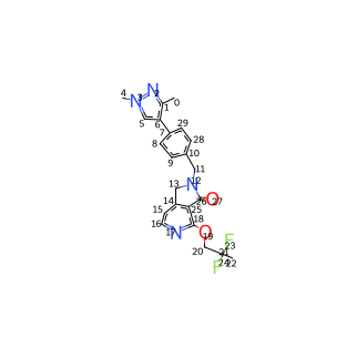 Cc1nn(C)cc1-c1ccc(CN2Cc3ccnc(OCC(C)(F)F)c3C2=O)cc1